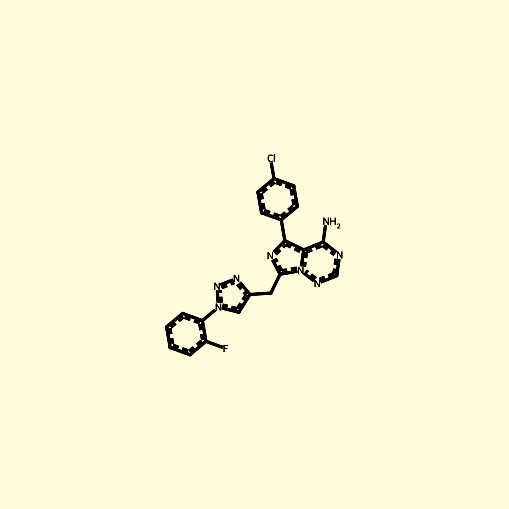 Nc1ncnn2c(Cc3cn(-c4ccccc4F)nn3)nc(-c3ccc(Cl)cc3)c12